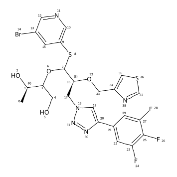 C[C@@H](O)C(CO)OC(Sc1cncc(Br)c1)[C@H](Cn1cc(-c2cc(F)c(F)c(F)c2)nn1)OCc1cscn1